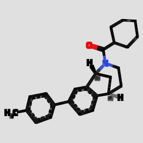 Cc1ccc(-c2ccc3c(c2)[C@H]2C[C@H]3CCN2C(=O)C2CCCCC2)cc1